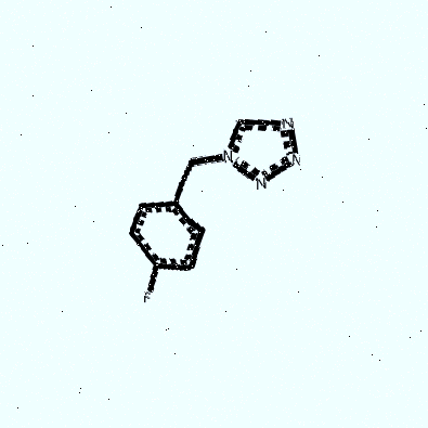 Fc1ccc(Cn2[c]nnn2)cc1